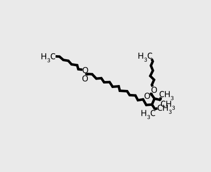 CCCCCCCOC(=O)CCCCCCCCCCCCCCC(C(C)C)C(C(=O)OCCCCCCC)C(C)C